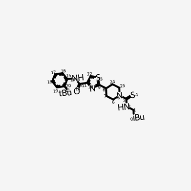 CCC(C)CNC(=S)N1CCC(c2nc(C(=O)Nc3ccccc3C(C)(C)C)cs2)CC1